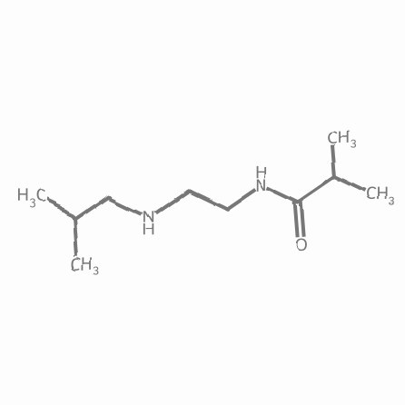 CC(C)CNCCNC(=O)C(C)C